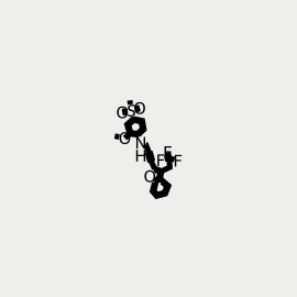 COc1cc(S(C)(=O)=O)ccc1NCC#Cc1oc2ccccc2c1CC(F)(F)F